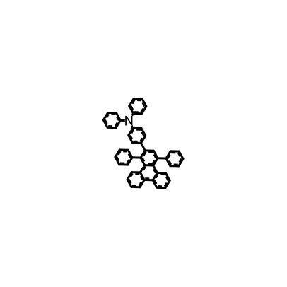 c1ccc(-c2cc(-c3ccc(N(c4ccccc4)c4ccccc4)cc3)c(-c3ccccc3)c3c4ccccc4c4ccccc4c23)cc1